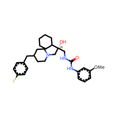 COc1cccc(NC(=O)NC[C@@](O)(CN2CCC(Cc3ccc(F)cc3)CC2)C2CCCCC2)c1